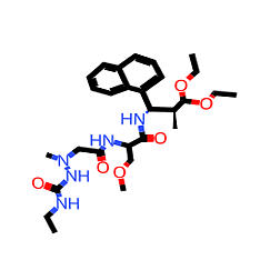 CCNC(=O)NN(C)CC(=O)NC(COC)C(=O)N[C@H](c1cccc2ccccc12)[C@H](C)C(OCC)OCC